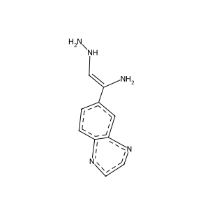 NN/C=C(\N)c1ccc2nccnc2c1